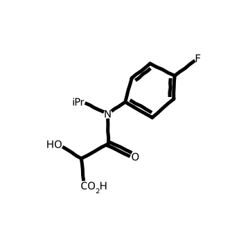 CC(C)N(C(=O)C(O)C(=O)O)c1ccc(F)cc1